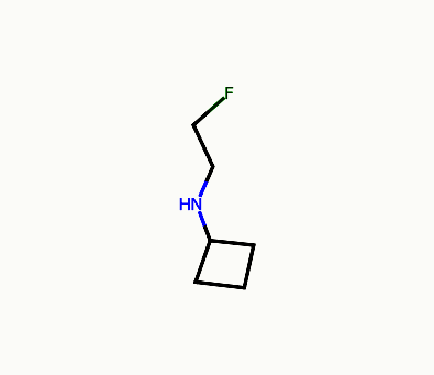 FCCNC1CCC1